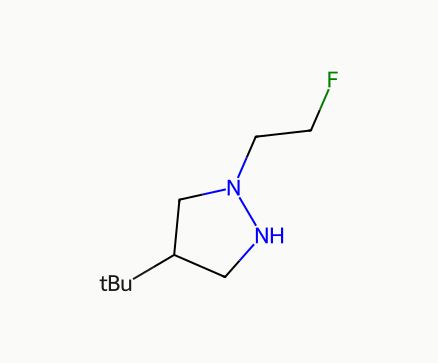 CC(C)(C)C1CNN(CCF)C1